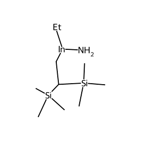 C[CH2][In]([NH2])[CH2]C([Si](C)(C)C)[Si](C)(C)C